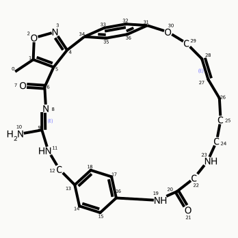 Cc1onc2c1C(=O)/N=C(\N)NCc1ccc(cc1)NC(=O)CNCCC/C=C/COc1ccc-2cc1